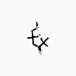 COCC1(C)CC(=O)C(C)(C)O1